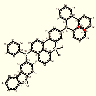 C[Si]1(C)c2cc(N(c3ccccc3)c3ccccc3-c3ccccc3)ccc2-c2ccc(N(c3ccccc3)c3ccc4oc5ccccc5c4c3)c3cccc1c23